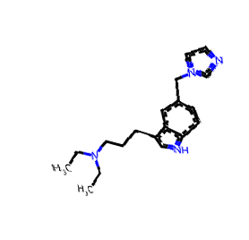 CCN(CC)CCCc1c[nH]c2ccc(Cn3ccnc3)cc12